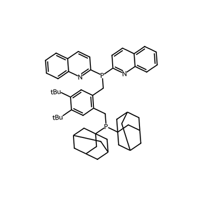 CC(C)(C)c1cc(CP(c2ccc3ccccc3n2)c2ccc3ccccc3n2)c(CP(C23CC4CC(CC(C4)C2)C3)C23CC4CC(CC(C4)C2)C3)cc1C(C)(C)C